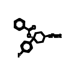 CCCCC[C@H]1CC[C@@](OC(=O)c2ccccc2)(c2ccc(F)cc2)CC1